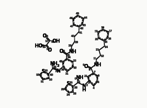 N=C(Nc1cccc(C(=O)NCCCCc2ccccc2)c1)c1cccs1.NC(=Nc1cccc(C(=O)NCCCCc2ccccc2)c1)c1cccs1.O=C(O)C(=O)O